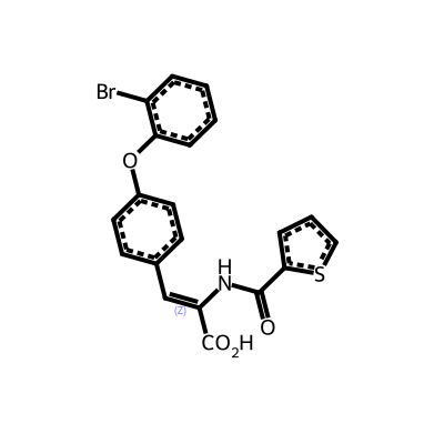 O=C(O)/C(=C/c1ccc(Oc2ccccc2Br)cc1)NC(=O)c1cccs1